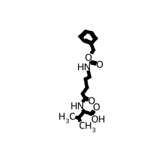 CC(C)C(NC(=O)CCCCNC(=O)OCc1ccccc1)C(=O)O